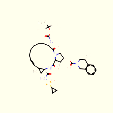 C[C@H]1CN(C(=O)O[C@@H]2C[C@H]3C(=O)N[C@]4(C(=O)NS(=O)(=O)C5CC5)C[C@H]4/C=C\CCCCC[C@H](NC(=O)OC(C)(C)C)C(=O)N3C2)Cc2ccccc21